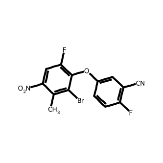 Cc1c([N+](=O)[O-])cc(F)c(Oc2ccc(F)c(C#N)c2)c1Br